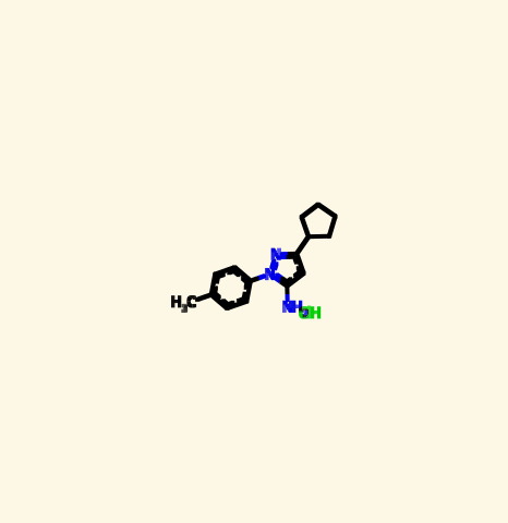 Cc1ccc(-n2nc(C3CCCC3)cc2N)cc1.Cl